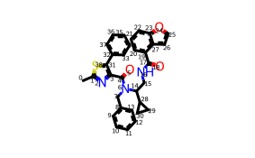 Cc1nc(C(=O)N(Cc2ccccc2)C(CNC(=O)c2cccc3occc23)C2CC2)c(-c2ccccc2)s1